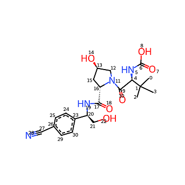 CC(C)(C)[C@H](NC(=O)O)C(=O)N1C[C@H](O)C[C@H]1C(=O)N[C@@H](CO)c1ccc(C#N)cc1